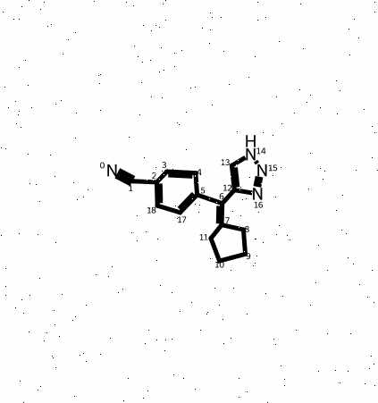 N#Cc1ccc(C(=C2CCCC2)c2c[nH]nn2)cc1